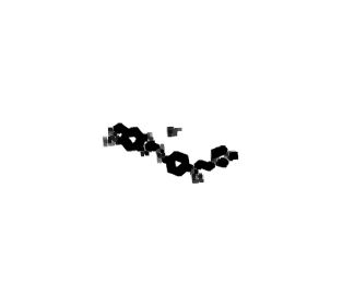 CCN(CCn1cc[n+](C)c1)c1ccc(/N=N/c2nc3cc4[nH]ncc4cc3s2)cc1.[Br-]